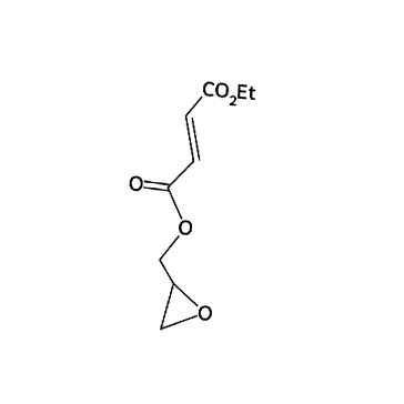 CCOC(=O)/C=C/C(=O)OCC1CO1